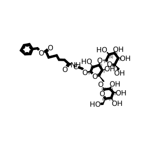 O=C(CCCCC(=O)OCc1ccccc1)NCCO[C@@H]1O[C@H](CO[C@H]2O[C@H](CO)[C@@H](O)[C@H](O)[C@@H]2O)[C@@H](O)[C@H](O[C@H]2O[C@H](CO)[C@@H](O)[C@H](O)[C@@H]2O)[C@H]1O